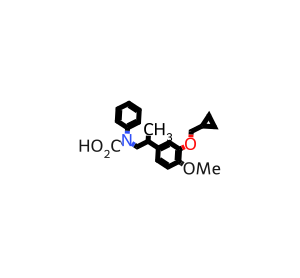 COc1ccc(C(C)CN(C(=O)O)c2ccccc2)cc1OCC1CC1